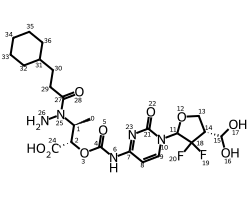 C[C@@H]([C@H](OC(=O)Nc1ccn(C2OC[C@H](C(O)O)C2(F)F)c(=O)n1)C(=O)O)N(N)C(=O)CCC1CCCCC1